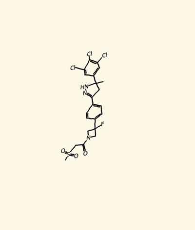 CC1(c2cc(Cl)c(Cl)c(Cl)c2)CC(c2ccc(C3(F)CN(C(=O)CS(C)(=O)=O)C3)cc2)=NN1